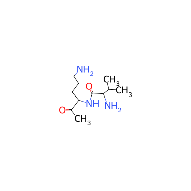 CC(=O)C(CCCN)NC(=O)C(N)C(C)C